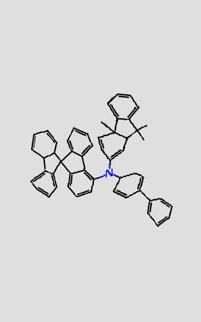 CC1(C)c2ccccc2C2(C)C=CC(N(c3cccc4c3-c3ccccc3C43c4ccccc4C4C=CC=CC43)C3C=CC(c4ccccc4)=CC3)=CC12